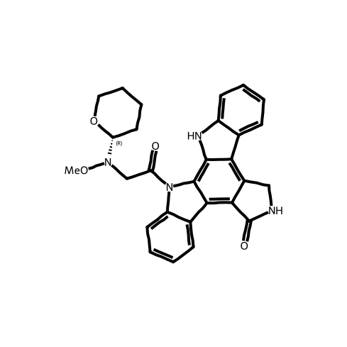 CON(CC(=O)n1c2ccccc2c2c3c(c4c5ccccc5[nH]c4c21)CNC3=O)[C@H]1CCCCO1